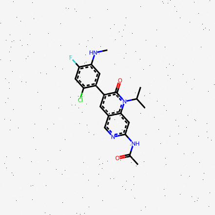 CNc1cc(-c2cc3cnc(NC(C)=O)cc3n(C(C)C)c2=O)c(Cl)cc1F